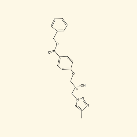 Cc1nnn(C[C@@H](O)COc2ccc(C(=O)OCc3ccccc3)cc2)n1